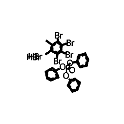 Br.Br.Cc1c(C)c(Br)c(Br)c(Br)c1Br.O=P(Oc1ccccc1)(Oc1ccccc1)Oc1ccccc1